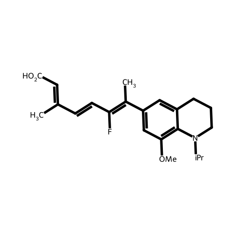 COc1cc(C(C)=C(F)C=CC(C)=CC(=O)O)cc2c1N(C(C)C)CCC2